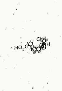 O=C(O)c1ccccc1CN1CCc2ccc(S(=O)(=O)Nc3cccc(Cl)c3)cc2C1